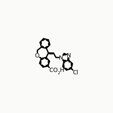 O=C(O)c1ccc2c(c1)C(=CCn1cnc3cc(Cl)ccc31)c1ccccc1CO2